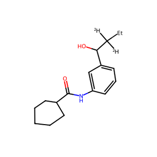 [2H]C([2H])(CC)C(O)c1cccc(NC(=O)C2CCCCC2)c1